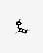 CC[C@H]1COc2nc(C)c(Cc3ccc(F)cc3)cc2N1